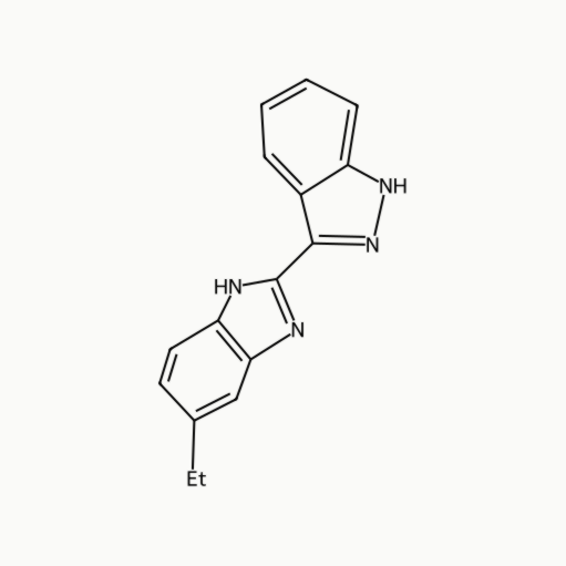 CCc1ccc2[nH]c(-c3n[nH]c4ccccc34)nc2c1